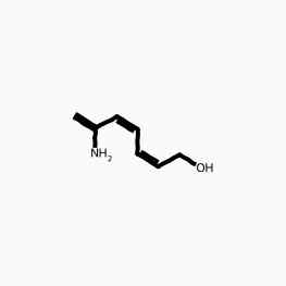 C=C(N)/C=C\C=C/CO